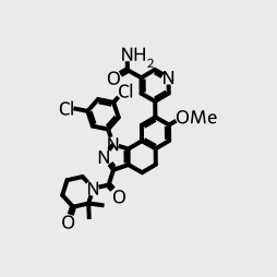 COc1cc2c(cc1-c1cncc(C(N)=O)c1)-c1c(c(C(=O)N3CCCC(=O)C3(C)C)nn1-c1cc(Cl)cc(Cl)c1)CC2